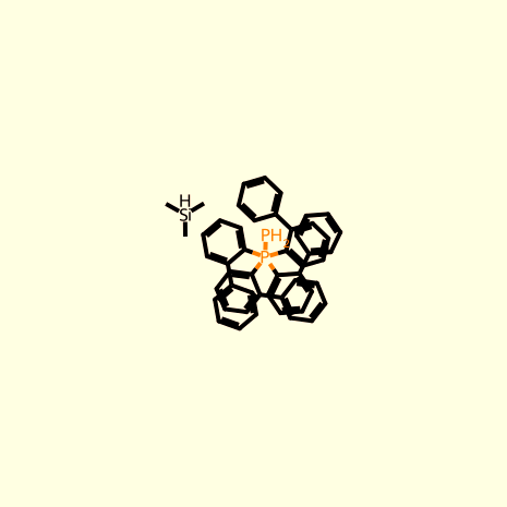 C[SiH](C)C.PP(c1ccccc1-c1ccccc1)(c1ccccc1-c1ccccc1)(c1ccccc1-c1ccccc1)c1ccccc1-c1ccccc1